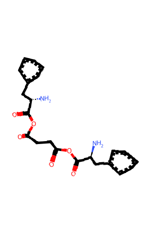 N[C@@H](Cc1ccccc1)C(=O)OC(=O)CCC(=O)OC(=O)[C@@H](N)Cc1ccccc1